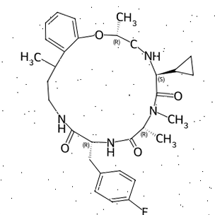 CC1CCNC(=O)[C@@H](Cc2ccc(F)cc2)NC(=O)[C@@H](C)N(C)C(=O)[C@H](C2CC2)NC[C@@H](C)Oc2ccccc21